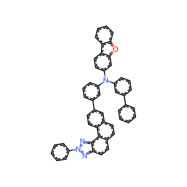 c1ccc(-c2cccc(N(c3cccc(-c4ccc5c(ccc6ccc7nn(-c8ccccc8)nc7c65)c4)c3)c3ccc4c(c3)oc3ccccc34)c2)cc1